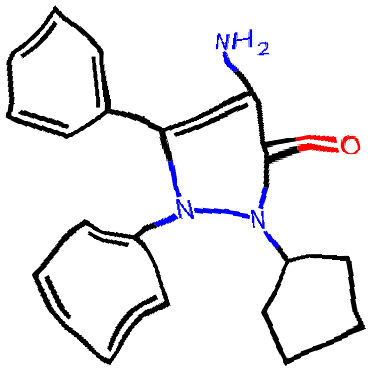 Nc1c(-c2ccccc2)n(-c2ccccc2)n(C2CCCC2)c1=O